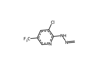 C=NNc1ncc(C(F)(F)F)cc1Cl